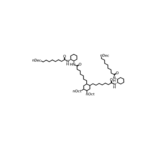 CCCCCCCCCCCCCCCCCC(=O)N[C@H]1CCCC[C@H]1NC(=O)CCCCCCC1CC(CCCCCCCC)C(CCCCCCCC)CC1CCCCCCC(=O)N[C@H]1CCCC[C@H]1NC(=O)CCCCCCCCCCCCCCCCC